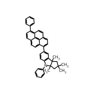 CC1(C)CC2(C)c3cc(-c4ccc5ccc6c(-c7ccccc7)ccc7ccc4c5c76)ccc3N(c3ccccc3)C2(C)C1